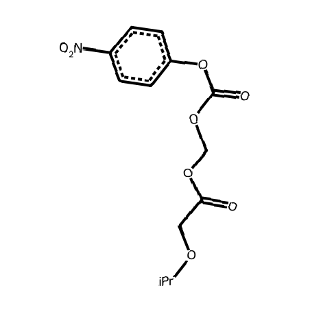 CC(C)OCC(=O)OCOC(=O)Oc1ccc([N+](=O)[O-])cc1